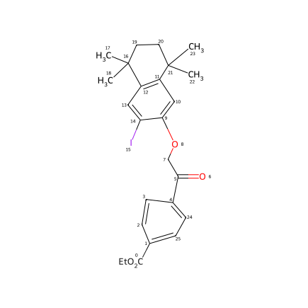 CCOC(=O)c1ccc(C(=O)COc2cc3c(cc2I)C(C)(C)CCC3(C)C)cc1